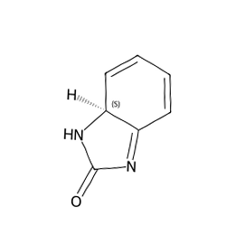 O=C1N=C2C=CC=C[C@@H]2N1